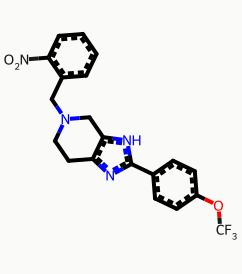 O=[N+]([O-])c1ccccc1CN1CCc2nc(-c3ccc(OC(F)(F)F)cc3)[nH]c2C1